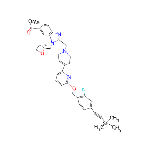 COC(=O)c1ccc2nc(CN3CC=C(c4cccc(OCc5ccc(C#C[Si](C)(C)C)cc5F)n4)CC3)n(C[C@@H]3CCO3)c2c1